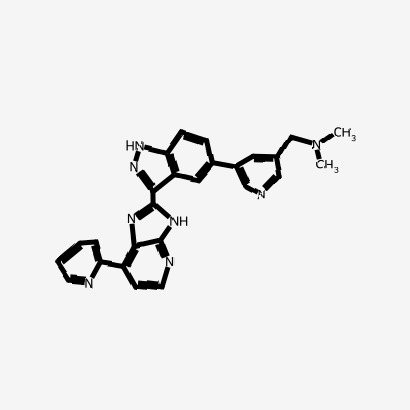 CN(C)Cc1cncc(-c2ccc3[nH]nc(-c4nc5c(-c6ccccn6)ccnc5[nH]4)c3c2)c1